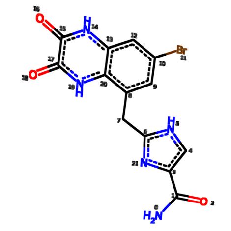 NC(=O)c1c[nH]c(Cc2cc(Br)cc3[nH]c(=O)c(=O)[nH]c23)n1